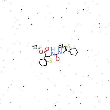 CCc1sc2c(c1CNC(=O)Nc1sc3c(c1C(=O)OC(C)(C)C)CCCC3)CCCC2